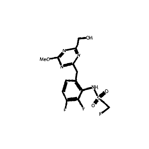 COc1nc(CO)nc(Cc2ccc(F)c(F)c2NS(=O)(=O)CF)n1